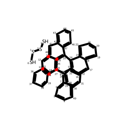 SSSS.c1ccc(P(c2ccccc2)c2ccc3ccccc3c2-c2c(P(c3ccccc3)c3ccccc3)ccc3ccccc23)cc1